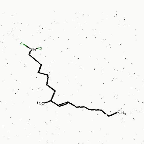 CCCCCCC=CC(C)CCCCCC[SiH](Cl)Cl